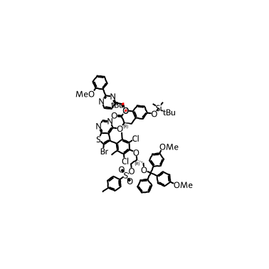 COc1ccc(C(OC[C@H](COS(=O)(=O)c2ccc(C)cc2)Oc2c(Cl)c(C)c(-c3c(Br)sc4ncnc(O[C@H](Cc5cc(O[Si](C)(C)C(C)(C)C)ccc5OCc5ccnc(-c6ccccc6OC)n5)C(=O)OC(C)(C)C)c34)c(C)c2Cl)(c2ccccc2)c2ccc(OC)cc2)cc1